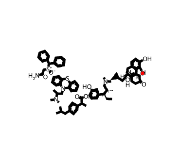 CC(C)Cc1ccc(C(C)C(=O)O)cc1.CC(CN1c2ccccc2Sc2ccccc21)N(C)C.CC[C@@H](c1cccc(O)c1)[C@@H](C)CN(C)C.NC(=O)C[S+]([O-])C(c1ccccc1)c1ccccc1.O=C1CC[C@@]2(O)[C@H]3Cc4ccc(O)c5c4[C@@]2(CCN3CC2CC2)[C@H]1O5